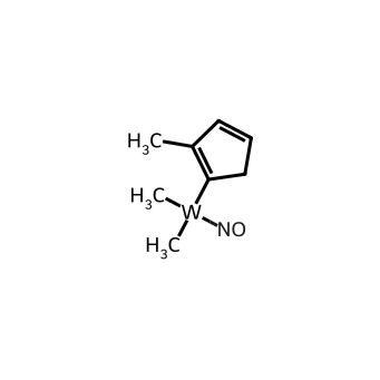 CC1=[C]([W]([CH3])([CH3])[N]=O)CC=C1